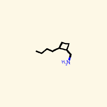 CCCCC1CCC1CN